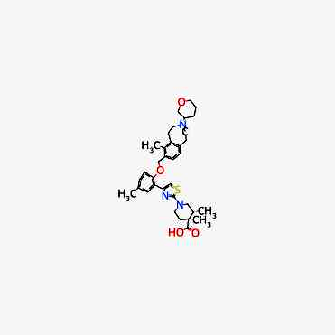 Cc1ccc(OCc2ccc3c(c2C)CCN(C2CCCOC2)CC3)c(-c2csc(N3CC[C@](C)(C(=O)O)[C@@H](C)C3)n2)c1